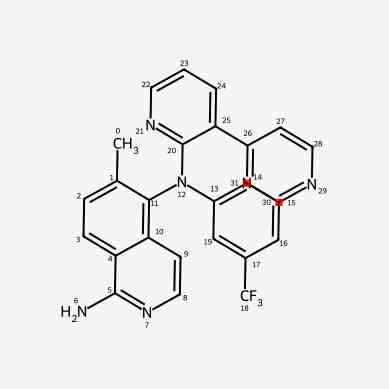 Cc1ccc2c(N)nccc2c1N(c1cccc(C(F)(F)F)c1)c1ncccc1-c1ccncn1